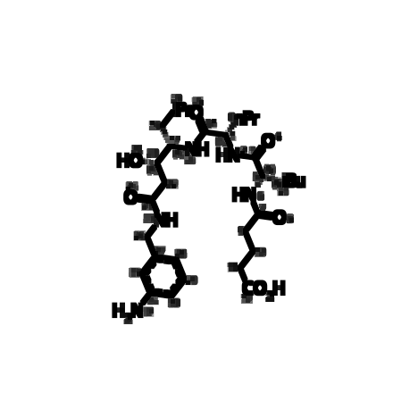 CCC[C@H](NC(=O)[C@@H](NC(=O)CCCC(=O)O)[C@@H](C)CC)C(=O)N[C@@H](CC(C)C)[C@@H](O)CC(=O)NCc1cccc(N)c1